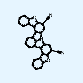 N#Cc1cc2c(c3cccc4c5c6c(oc7ccccc76)c(C#N)cc5n2c34)c2c1oc1ccccc12